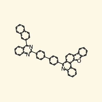 c1ccc2cc(-c3nc(-c4ccc(-c5ccc(-c6nc7ccccc7c7c6ccc6c8ccccc8oc67)cc5)cc4)nc4ccccc34)ccc2c1